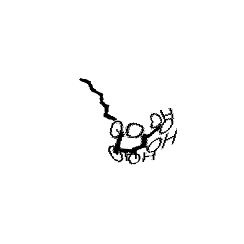 CCCCCCCCO[C@@H]1OC(C(=O)O)[C@@H](O)C(O)C1O